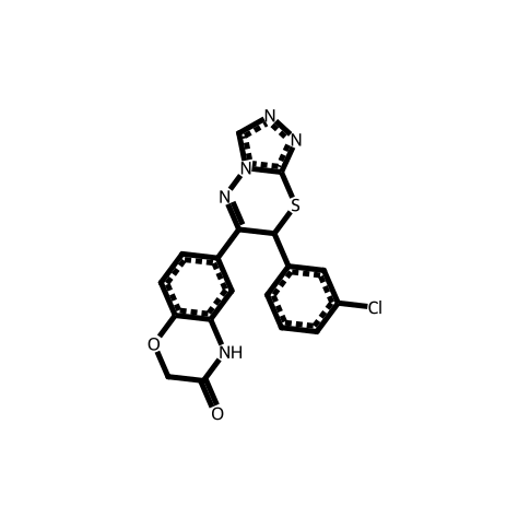 O=C1COc2ccc(C3=Nn4cnnc4SC3c3cccc(Cl)c3)cc2N1